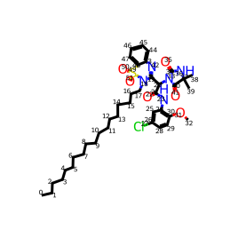 CCCCCCCCCCCCCCCCCCN1C(C(C(=O)Nc2cc(Cl)ccc2OC)N2C(=O)NC(C)(C)C2=O)=Nc2ccccc2S1(=O)=O